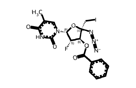 Cc1cn([C@@H]2O[C@@](CI)(N=[N+]=[N-])[C@@H](OC(=O)c3ccccc3)[C@@H]2F)c(=O)[nH]c1=O